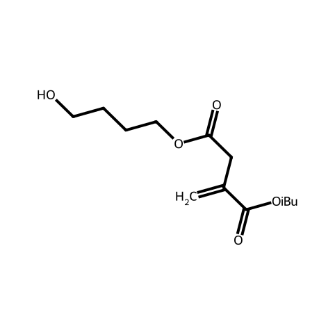 C=C(CC(=O)OCCCCO)C(=O)OCC(C)C